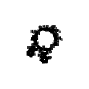 CC(C)=C1NC(=O)[C@@H](C)NC(=O)CNC(=O)[C@H](Cc2c[nH]c3cccc(Br)c23)NC(=O)[C@H](Cc2c[nH]c3ccccc23)NC(=O)c2csc(n2)[C@@H](C)NC(=O)CN(C)C1=O